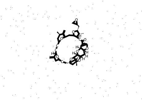 C=C1CC2CC[C@@]34C[C@@]5(C)O[C@H]6[C@@H](O3)[C@H]3OC(CC[C@@H]3O[C@H]6C5O4)CC(=O)C[C@H]3C(C[C@H]4OC(CC[C@@H]1O2)C[C@@H](C)C4=C)O[C@H](C[C@H]1CO1)[C@@H]3C